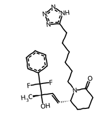 C[C@](O)(C=C[C@H]1CCCC(=O)N1CCCCCCc1nnn[nH]1)C(F)(F)c1ccccc1